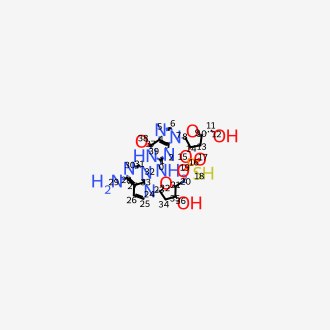 Nc1nc2c(ncn2[C@@H]2O[C@H](CO)C[C@H]2OP(=O)(S)OCC2O[C@@H](n3ccc4c(N)ncnc43)C[C@@H]2O)c(=O)[nH]1